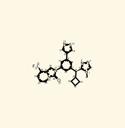 Cn1cnnc1[C@H](c1cc(-c2cnsc2)cc(-n2cc3c(C(F)(F)F)cccn3c2=O)c1)C1CCC1